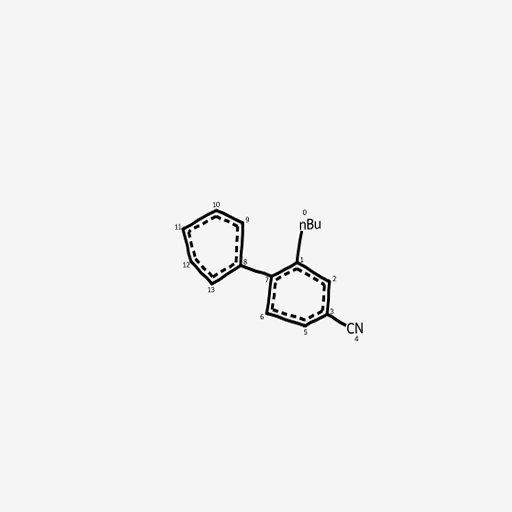 CCCCc1cc(C#N)ccc1-c1ccccc1